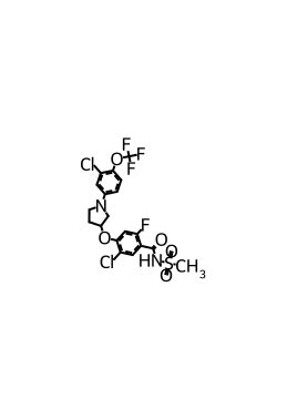 CS(=O)(=O)NC(=O)c1cc(Cl)c(OC2CCN(c3ccc(OC(F)(F)F)c(Cl)c3)C2)cc1F